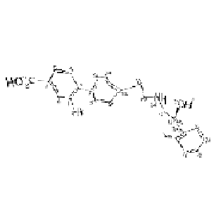 CCCc1cc(C(=O)O)ccc1-c1ccc(CCNC[C@@H](O)c2ccccc2)cc1